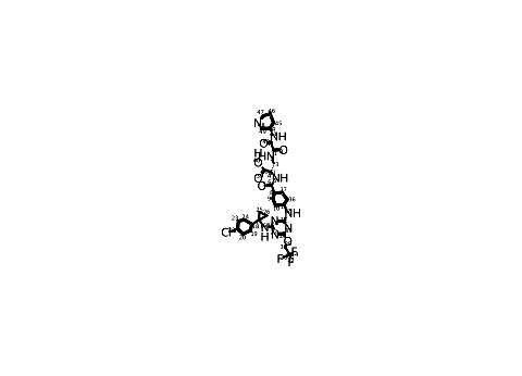 O=C(NC[C@H](NC(=O)c1ccc(Nc2nc(NC3(c4ccc(Cl)cc4)CC3)nc(OCC(F)(F)F)n2)cc1)C(=O)O)C(=O)Nc1cccnc1